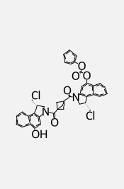 O=C(Oc1ccccc1)Oc1cc2c(c3ccccc13)[C@H](CCl)CN2C(=O)C12CC(C(=O)N3C[C@@H](CCl)c4c3cc(O)c3ccccc43)(C1)C2